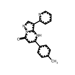 Cc1ccc(-c2cc(=O)n3ncc(-c4ccccn4)c3[nH]2)cc1